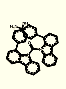 Nc1ccc(-c2cccc3c4ccccc4n(C(=O)n4c5ccccc5c5cccc(-c6ccc(N)cc6)c54)c23)cc1